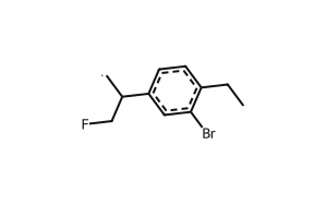 [CH2]C(CF)c1ccc(CC)c(Br)c1